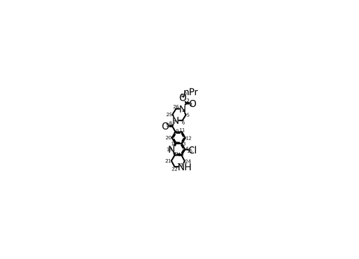 CCCOC(=O)N1CCN(C(=O)c2ccc3c(Cl)c4c(nc3c2)CCNC4)CC1